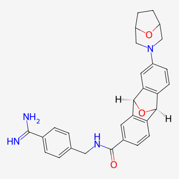 N=C(N)c1ccc(CNC(=O)c2ccc3c(c2)[C@@H]2O[C@H]3c3ccc(N4CC5CCC(C4)O5)cc32)cc1